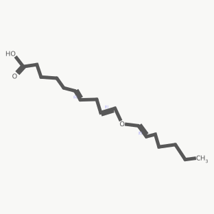 CCCCC/C=C/O/C=C/C/C=C/CCCCC(=O)O